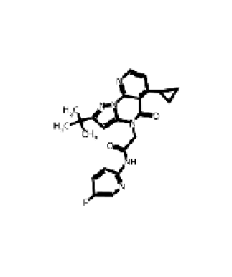 CC(C)(C)c1cc2n(CC(=O)Nc3ccc(F)cn3)c(=O)c3c(C4CC4)ccnc3n2n1